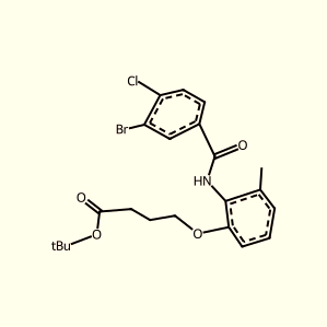 Cc1cccc(OCCCC(=O)OC(C)(C)C)c1NC(=O)c1ccc(Cl)c(Br)c1